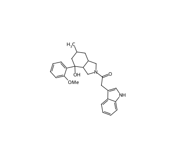 COc1ccccc1C1(O)CC(C)CC2CN(C(=O)Cc3c[nH]c4ccccc34)CC21